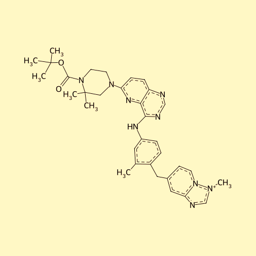 Cc1cc(Nc2ncnc3ccc(N4CCN(C(=O)OC(C)(C)C)C(C)(C)C4)nc23)ccc1Cc1ccn2c(c1)nc[n+]2C